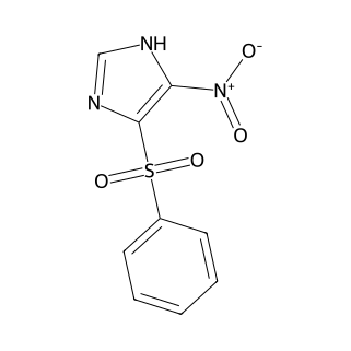 O=[N+]([O-])c1[nH]cnc1S(=O)(=O)c1ccccc1